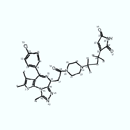 Cc1sc2c(c1C)C(c1ccc(Cl)cc1)=N[C@@H](CC(=O)N1CCN(C(C)(C)CC(C)(C)C3=CC(=O)NC3=O)CC1)c1nnc(C)n1-2